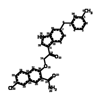 Cc1cccc(Cc2ccc3c(C(=O)COc4cc5ccc(Cl)cc5cc4C(N)=O)c[nH]c3c2)n1